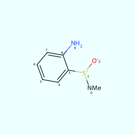 CN[S+]([O-])c1ccccc1N